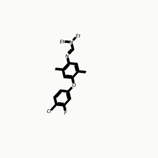 CCN(/C=N/c1cc(C)c(Oc2ccc(Cl)c(F)c2)cc1C)CC